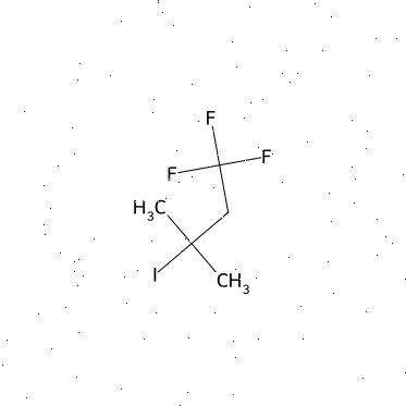 CC(C)(I)CC(F)(F)F